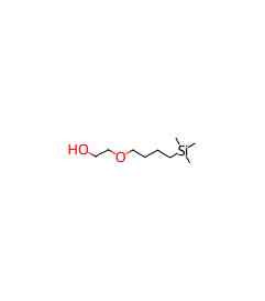 C[Si](C)(C)CCCCOCCO